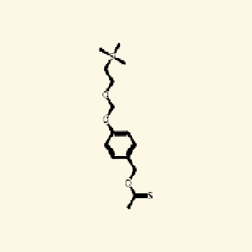 CC(=S)OCc1ccc(OCOCC[Si](C)(C)C)cc1